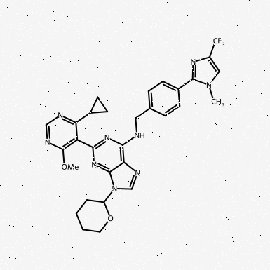 COc1ncnc(C2CC2)c1-c1nc(NCc2ccc(-c3nc(C(F)(F)F)cn3C)cc2)c2ncn(C3CCCCO3)c2n1